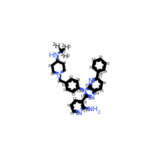 [2H]C([2H])([2H])NC1CCN(Cc2ccc(-n3c(-c4cccnc4N)nc4ccc(-c5ccccc5)nc43)cc2)CC1